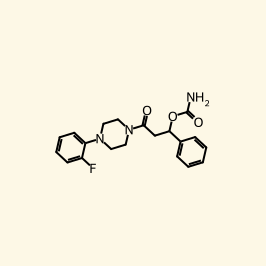 NC(=O)OC(CC(=O)N1CCN(c2ccccc2F)CC1)c1ccccc1